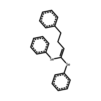 C(CCc1ccccc1)=C([Se]c1ccccc1)[Se]c1ccccc1